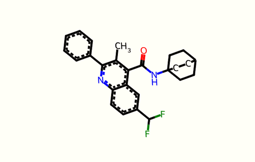 Cc1c(-c2ccccc2)nc2ccc(C(F)F)cc2c1C(=O)NC12CCC(CC1)CC2